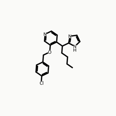 CCCCC(c1ncc[nH]1)c1ccncc1OCc1ccc(Cl)cc1